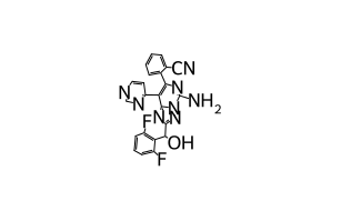 N#Cc1ccccc1-c1nc(N)n2nc(C(O)c3c(F)cccc3F)nc2c1-c1ccncn1